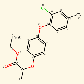 CCCC(C)COC(=O)C(C)Oc1ccc(Oc2ccc(C#N)cc2Cl)cc1